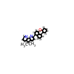 CC1(C)c2cccnc2-c2nc(-c3ccc4c5c(cccc35)-c3ccccc3O4)ccc21